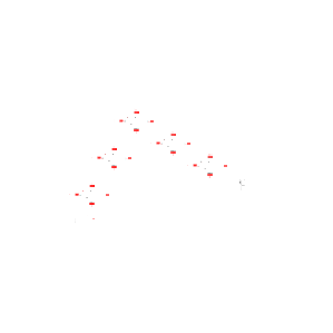 [Fe+2].[Fe+2].[Fe+3].[Fe+3].[O]=[Mo](=[O])([O-])[O-].[O]=[Mo](=[O])([O-])[O-].[O]=[Mo](=[O])([O-])[O-].[O]=[Mo](=[O])([O-])[O-].[O]=[Mo](=[O])([O-])[O-]